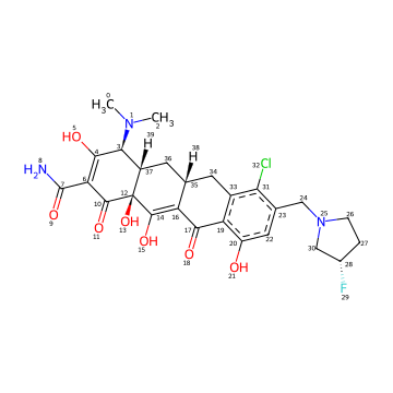 CN(C)[C@@H]1C(O)=C(C(N)=O)C(=O)[C@@]2(O)C(O)=C3C(=O)c4c(O)cc(CN5CC[C@H](F)C5)c(Cl)c4C[C@H]3C[C@@H]12